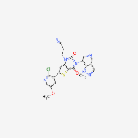 COc1cnc(Cl)c(-c2cc3c(s2)c(=O)n(-c2cncc4cnn(C)c24)c(=O)n3CCC#N)c1